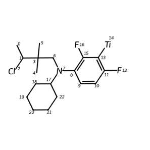 CC(Cl)C(C)(C)CN(c1ccc(F)[c]([Ti])c1F)C1CCCCC1